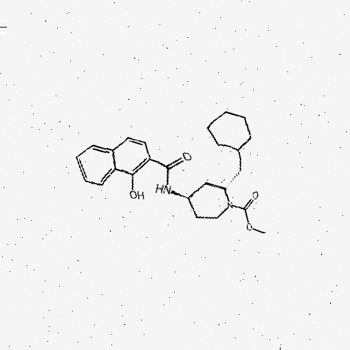 COC(=O)N1CC[C@@H](NC(=O)c2ccc3ccccc3c2O)C[C@@H]1CC1CCCCC1